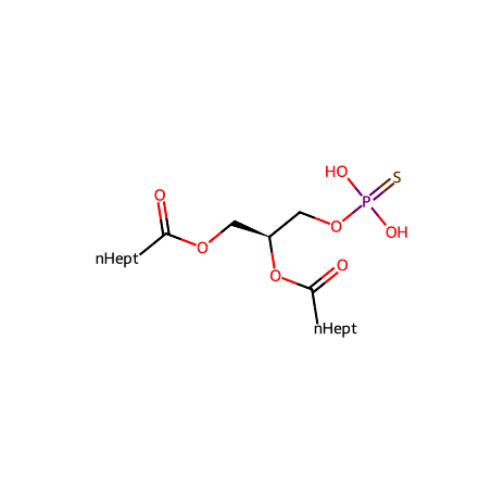 CCCCCCCC(=O)OC[C@@H](COP(O)(O)=S)OC(=O)CCCCCCC